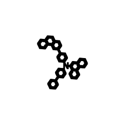 c1ccc(-c2ccc(N(c3ccc(-c4ccc5ccc6ccccc6c5c4)cc3)c3cc4ccccc4c4ccccc34)cc2)cc1